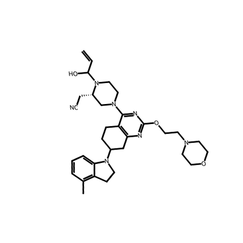 C=CC(O)N1CCN(c2nc(OCCN3CCOCC3)nc3c2CCC(N2CCc4c(C)cccc42)C3)C[C@@H]1CC#N